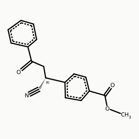 COC(=O)c1ccc([C@H](C#N)CC(=O)c2ccccc2)cc1